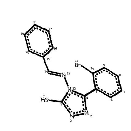 Sc1nnc(-c2ccccc2Br)n1N=Cc1ccccc1